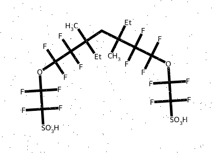 CCC(C)(CC(C)(CC)C(F)(F)C(F)(F)OC(F)(F)C(F)(F)S(=O)(=O)O)C(F)(F)C(F)(F)OC(F)(F)C(F)(F)S(=O)(=O)O